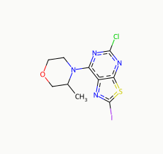 CC1COCCN1c1nc(Cl)nc2sc(I)nc12